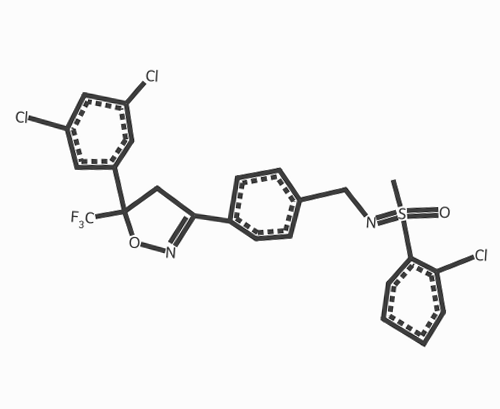 CS(=O)(=NCc1ccc(C2=NOC(c3cc(Cl)cc(Cl)c3)(C(F)(F)F)C2)cc1)c1ccccc1Cl